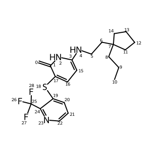 C=C1NC(NCCC2(CCC)CCCC2)=CC=C1Sc1cccnc1C(F)(F)F